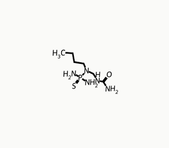 CCCCN(CNC(N)=O)P(N)(N)=S